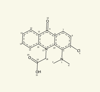 CN(C)c1c(Cl)ccc2c(=O)c3ccccc3n(CC(=O)O)c12